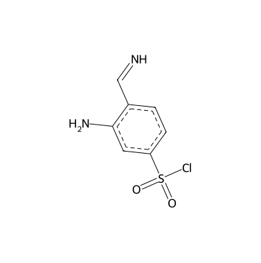 N=Cc1ccc(S(=O)(=O)Cl)cc1N